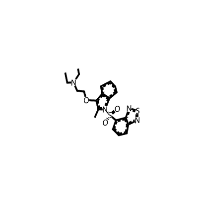 CCN(CC)CCOc1c(C)n(S(=O)(=O)c2cccc3nsnc23)c2ccccc12